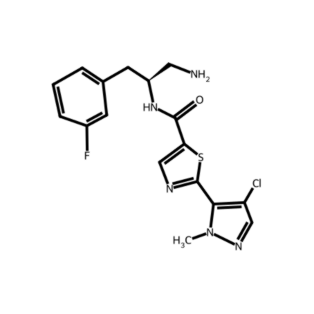 Cn1ncc(Cl)c1-c1ncc(C(=O)N[C@H](CN)Cc2cccc(F)c2)s1